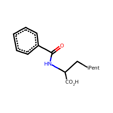 CCCC(C)CC(NC(=O)c1ccccc1)C(=O)O